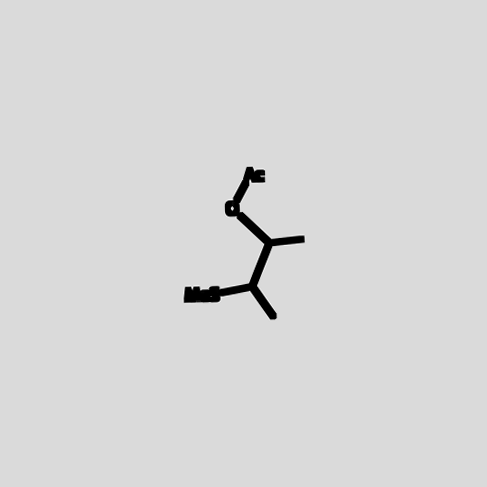 CSC(C)C(C)OC(C)=O